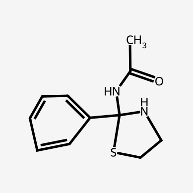 CC(=O)NC1(c2ccccc2)NCCS1